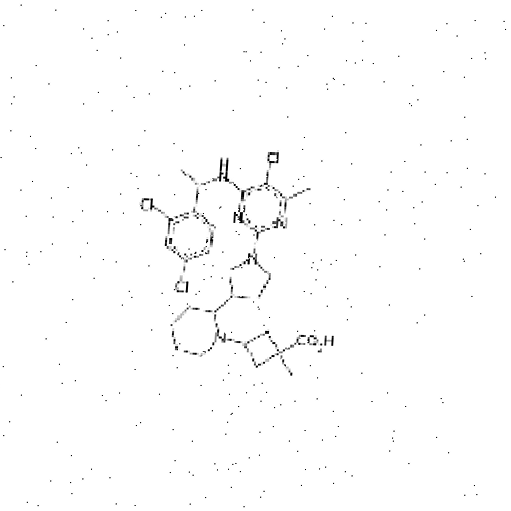 Cc1nc(N2CCC(C3CCCCN3C3CC(C)(C(=O)O)C3)C2)nc(NC(C)c2ccc(Cl)cc2Cl)c1Cl